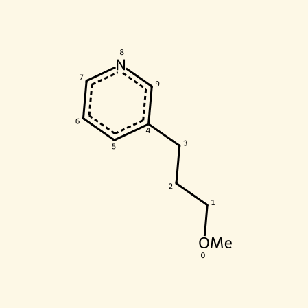 COCCCc1cccnc1